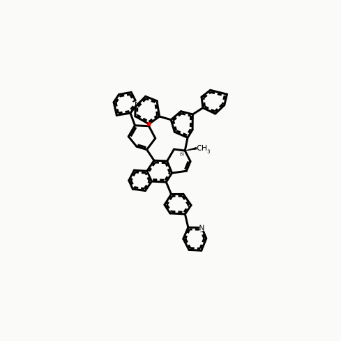 C[C@@]1(c2cc(-c3ccccc3)cc(-c3ccccc3)c2)C=Cc2c(c(C3=CC=C(c4ccccn4)CC3)c3ccccc3c2-c2ccc(-c3ccccn3)cc2)C1